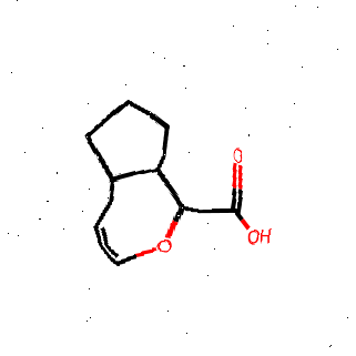 O=C(O)C1OC=CC2CCCC21